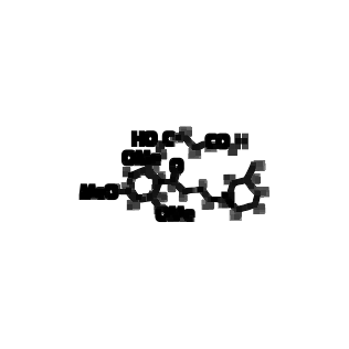 COc1cc(OC)c(C(=O)CCCN2CCCC(C)C2)c(OC)c1.O=C(O)CCC(=O)O